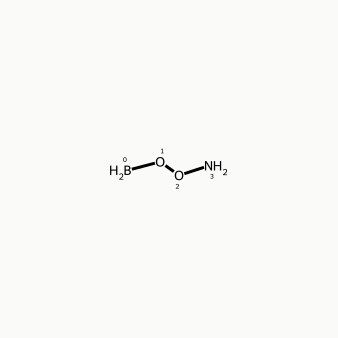 BOON